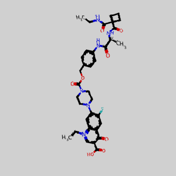 CCNC(=O)C1(C(=O)N[C@@H](C)C(=O)Nc2ccc(COC(=O)N3CCN(c4cc5c(cc4F)c(=O)c(C(=O)O)cn5CC)CC3)cc2)CCC1